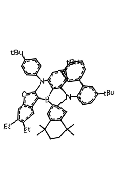 CCc1cc2oc3c(c2cc1CC)B1c2cc4c(cc2N(c2ccc(C(C)(C)C)cc2-c2ccccc2)c2cc(C(C)(C)C)cc(c21)N3c1ccc(C(C)(C)C)cc1)C(C)(C)CCC4(C)C